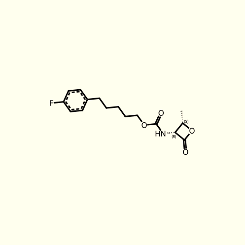 C[C@@H]1OC(=O)[C@@H]1NC(=O)OCCCCCc1ccc(F)cc1